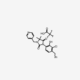 CC(C)Cc1ccc(N2C(=O)N(Cc3ccncc3)C(C)(C)C2=O)c(S)c1Cl.O=C(O)C(F)(F)F